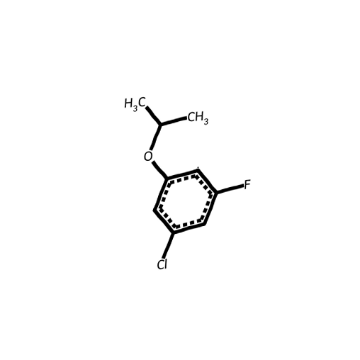 CC(C)Oc1[c]c(F)cc(Cl)c1